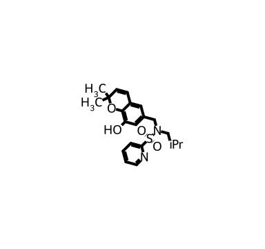 CC(C)CN(Cc1cc(O)c2c(c1)C=CC(C)(C)O2)S(=O)(=O)c1ccccn1